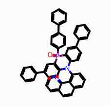 O=P1(c2ccc(-c3ccccc3)cc2)c2cc(-c3ccccc3)ccc2N(c2cccc3ccc4cccnc4c23)c2ccc(-c3ccccc3)cc21